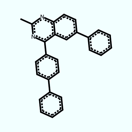 Cc1nc(-c2ccc(-c3ccccc3)cc2)c2cc(-c3ccccc3)ccc2n1